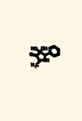 CN1NC(c2ccccc2)C(O)(O)C1=O